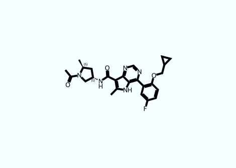 CC(=O)N1C[C@@H](NC(=O)c2c(C)[nH]c3c(-c4cc(F)ccc4OCC4CC4)ncnc23)C[C@@H]1C